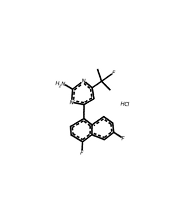 CC(C)(F)c1cc(-c2ccc(F)c3cc(F)ccc23)nc(N)n1.Cl